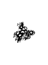 CC(C)(C)OC(=O)NC1(CN2C(=O)SC(=C(Cc3ccc(C(F)(F)F)cc3C(F)(F)F)c3ccc4[nH]ncc4c3)C2=O)CCOCC1